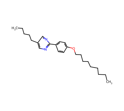 CCCCCCCCCOc1ccc(-c2ncc(CCCCC)cn2)cc1